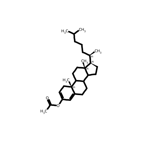 CC(=O)OC1=CC[C@@]2(C)C(=C1)CCC1C2CC[C@@]2(C)C1CC[C@@H]2[C@H](C)CCCC(C)C